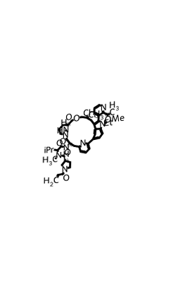 C=CC(=O)N1CC[C@H](C(=O)N(C)C(C(=O)N[C@H]2Cc3cccc(n3)-c3ccc4c(c3)c(c(-c3cccnc3[C@H](C)OC)n4CC)CC(C)(C)COC(=O)[C@@H]3CCCN(N3)C2=O)C(C)C)C1